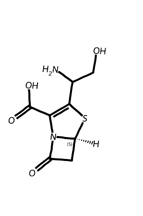 NC(CO)C1=C(C(=O)O)N2C(=O)C[C@@H]2S1